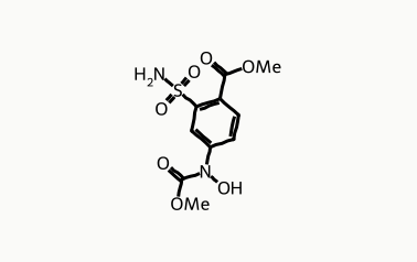 COC(=O)c1ccc(N(O)C(=O)OC)cc1S(N)(=O)=O